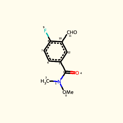 CON(C)C(=O)c1ccc(F)c(C=O)c1